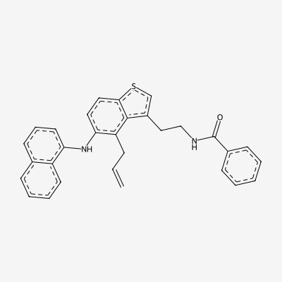 C=CCc1c(Nc2cccc3ccccc23)ccc2scc(CCNC(=O)c3ccccc3)c12